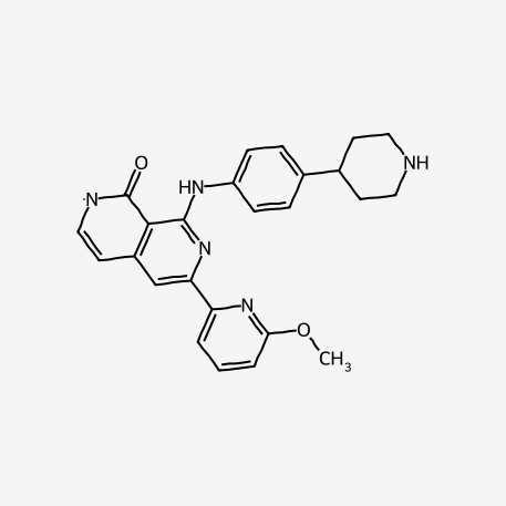 COc1cccc(-c2cc3c(c(Nc4ccc(C5CCNCC5)cc4)n2)C(=O)[N]C=C3)n1